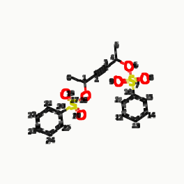 CC(C#CC(C)OS(=O)(=O)c1ccccc1)OS(=O)(=O)c1ccccc1